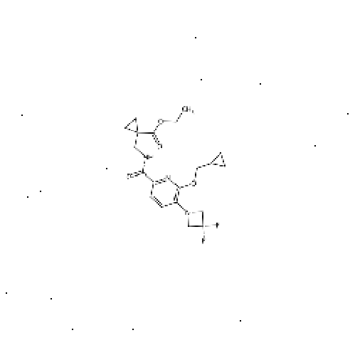 CCOC(=O)C1(CNC(=O)c2ccc(N3CC(F)(F)C3)c(OCC3CC3)n2)CC1